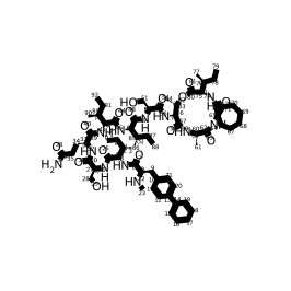 CC[C@H](C)[C@H](NC(=O)[C@@H](Cc1ccc(-c2ccccc2)cc1)NC)C(=O)N[C@@H](CO)C(=O)N[C@H](CCC(N)=O)C(=O)N[C@@H](C(=O)N[C@H](C(=O)N[C@@H](CO)C(=O)N[C@H]1C(=O)N[C@@H](C)C(=O)NC2(CCCCCC2)C(=O)N[C@@H]([C@@H](C)CC)C(=O)O[C@H]1C)[C@@H](C)CC)[C@@H](C)CC